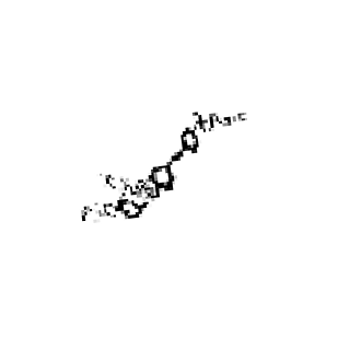 CCCCCOc1ccc(C#Cc2ccc(C[N+]([O-])(CC(=O)O)Cc3ccc(C(F)(F)F)cc3)cc2)cc1